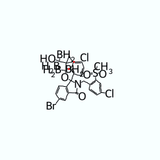 BC(B)(O)C1(C(B)(B)OC2(c3ccc(Cl)cc3)c3ccc(Br)cc3C(=O)N2Cc2ccc(Cl)cc2S(C)(=O)=O)CC1